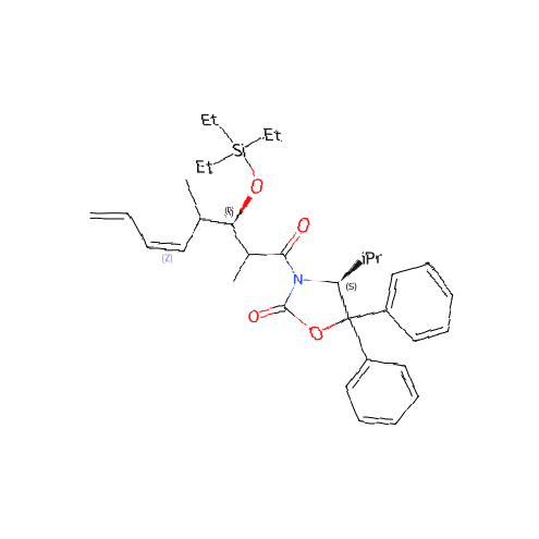 C=C/C=C\C(C)[C@@H](O[Si](CC)(CC)CC)C(C)C(=O)N1C(=O)OC(c2ccccc2)(c2ccccc2)[C@@H]1C(C)C